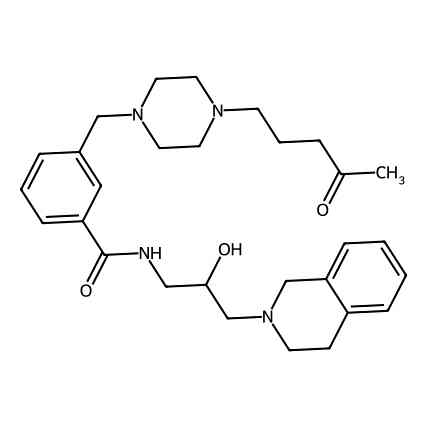 CC(=O)CCCN1CCN(Cc2cccc(C(=O)NCC(O)CN3CCc4ccccc4C3)c2)CC1